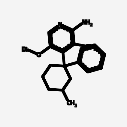 CCOc1cnc(N)c(C)c1C1(c2ccccc2)CCCC(C)C1